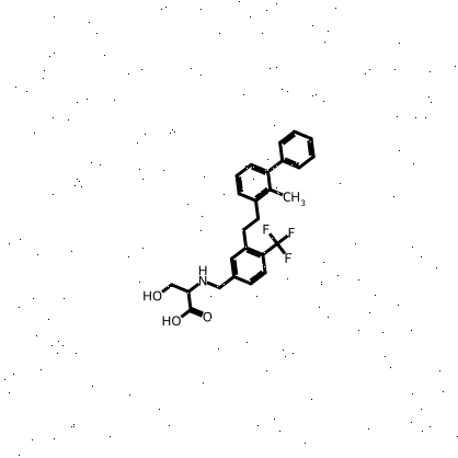 Cc1c(CCc2cc(CNC(CO)C(=O)O)ccc2C(F)(F)F)cccc1-c1ccccc1